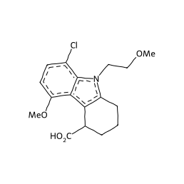 COCCn1c2c(c3c(OC)ccc(Cl)c31)C(C(=O)O)CCC2